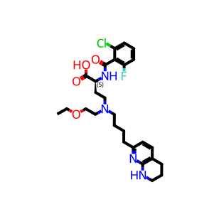 CCOCCN(CCCCc1ccc2c(n1)NCCC2)CC[C@H](NC(=O)c1c(F)cccc1Cl)C(=O)O